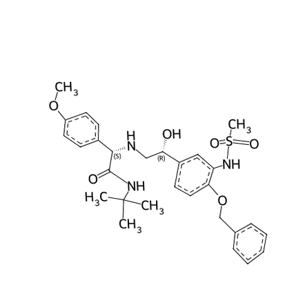 COc1ccc([C@H](NC[C@H](O)c2ccc(OCc3ccccc3)c(NS(C)(=O)=O)c2)C(=O)NC(C)(C)C)cc1